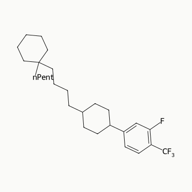 CCCCCC1(CCCCC2CCC(c3ccc(C(F)(F)F)c(F)c3)CC2)CCCCC1